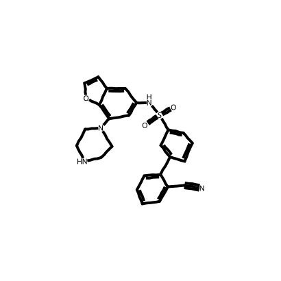 N#Cc1ccccc1-c1cccc(S(=O)(=O)Nc2cc(N3CCNCC3)c3occc3c2)c1